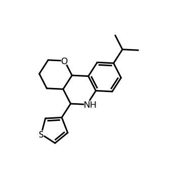 CC(C)c1ccc2c(c1)C1OCCCC1C(c1ccsc1)N2